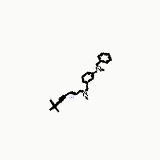 CN(C/C=C/C#CC(C)(C)C)Cc1cccc(N(C)Cc2ccccc2)c1